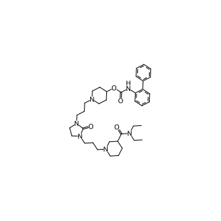 CCN(CC)C(=O)C1CCCN(CCCN2CCN(CCCN3CCC(OC(=O)Nc4ccccc4-c4ccccc4)CC3)C2=O)C1